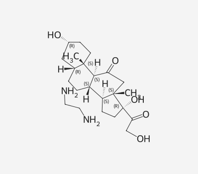 C[C@]12CC[C@@H](O)C[C@H]1CC[C@@H]1[C@@H]2C(=O)C[C@@]2(C)[C@H]1CC[C@]2(O)C(=O)CO.NCCN